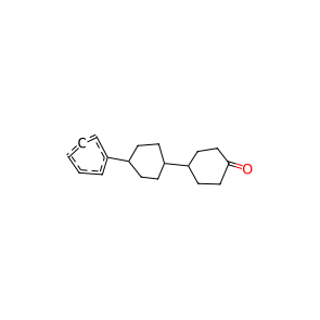 O=C1CCC(C2CCC(c3ccccc3)CC2)CC1